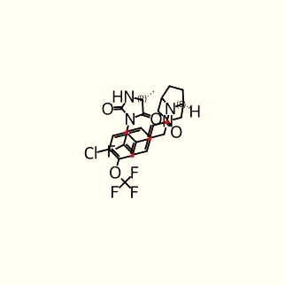 C[C@H]1NC(=O)N(c2cc(Cl)c(OC(F)(F)F)cc2C=CC(=O)N2C3CC[C@H]2CN(Cc2ccc(F)cc2)C3)C1=O